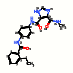 CCc1ccccc1C(=O)Nc1ccc(NC(=O)c2[nH]cnc2C(=O)NC)cc1